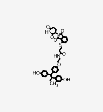 CCC(=C(c1ccc(O)cc1)c1ccc(OCCNC(=O)CCSc2cccc3c2C(=O)N(C2CCC(=O)NC2=O)C3=O)cc1)c1ccc(O)cc1